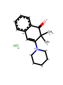 CCCC1(C)C(=O)c2ccccc2C=C1N1CCCCC1.Cl